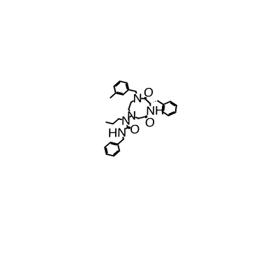 CCCN(C(=O)NCc1ccccc1)N1CCN(Cc2cccc(C)c2)C(=O)[C@H](Cc2ccccc2)NC(=O)C1